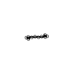 O=C1OCC(COCCOCCOCCOCC2COC(=O)O2)O1